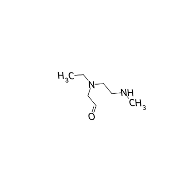 CCN(CC=O)CCNC